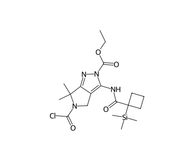 CCOC(=O)n1nc2c(c1NC(=O)C1([Si](C)(C)C)CCC1)CN(C(=O)Cl)C2(C)C